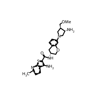 COC[C@@H]1CN(c2ccc3c(c2)OC[C@H](NC(=O)c2sc4nc(C)ccc4c2N)C3)C[C@H]1N